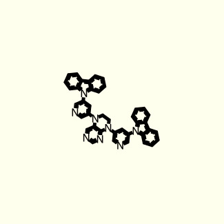 c1ccc2c(c1)c1ccccc1n2-c1cncc(N2CCN(c3cncc(-n4c5ccccc5c5ccccc54)c3)c3ncncc32)c1